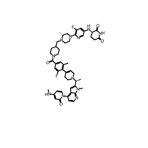 CNc1ccn(-c2ccnc3c2cc([C@H](C)N2CC=C(c4c(C)cc(C(=O)N5CCC(CN6CCN(c7ncc(N[C@@H]8CCC(=O)NC8=O)cc7F)C[C@H]6C)CC5)cc4F)CC2)n3C)c(=O)c1